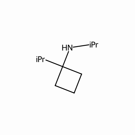 CC(C)NC1(C(C)C)CCC1